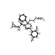 NCCCC1(c2ccccc2)SC(c2cc(F)ccc2F)=NN1C(=O)NC1CC1